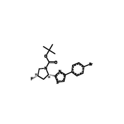 CC(C)(C)OC(=O)N1C[C@@H](F)C[C@H]1c1nc(-c2ccc(Br)cc2)cs1